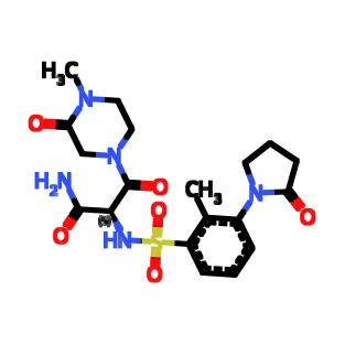 Cc1c(N2CCCC2=O)cccc1S(=O)(=O)N[C@@H](C(N)=O)C(=O)N1CCN(C)C(=O)C1